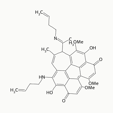 C=CCC/N=C(\C)C1C(C)=Cc2c(NCCC=C)c(O)c3c(=O)cc(OC)c4c5c(OC)cc(=O)c6c(O)c(OC)c1c(c2c34)c65